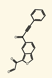 O=CC(=O)c1occ2ccc(C(=O)C#Cc3ccccc3)cc12